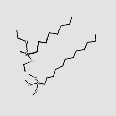 CCCCCCCCCCCC[Si](OC)(OC)OC.CCCCCCCC[Si](C)(OCC)OCC